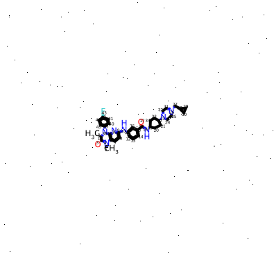 C[C@@H]1C(=O)N(C)c2ccc(Nc3cccc(C(=O)N[C@H]4CC[C@H](N5CCN(CC6CC6)CC5)CC4)c3)nc2N1c1ccc(F)cc1